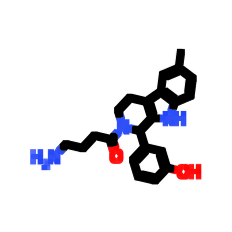 Cc1ccc2[nH]c3c(c2c1)CCN(C(=O)CCCN)C3c1cccc(O)c1